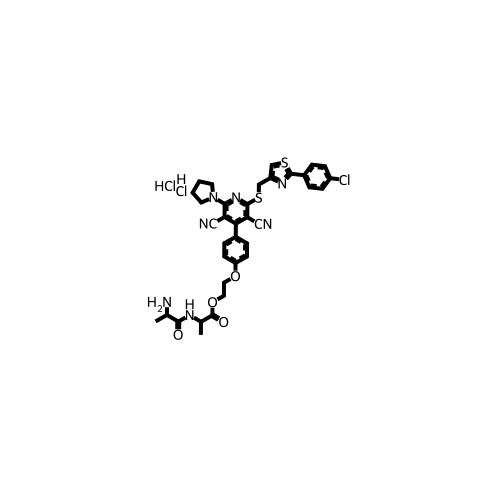 CC(N)C(=O)NC(C)C(=O)OCCOc1ccc(-c2c(C#N)c(SCc3csc(-c4ccc(Cl)cc4)n3)nc(N3CCCC3)c2C#N)cc1.Cl.Cl